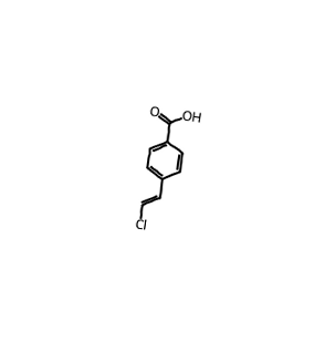 O=C(O)c1ccc(C=CCl)cc1